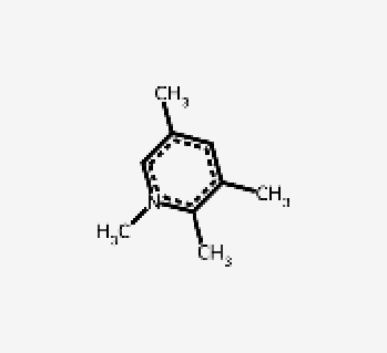 Cc1cc(C)c(C)[n+](C)c1